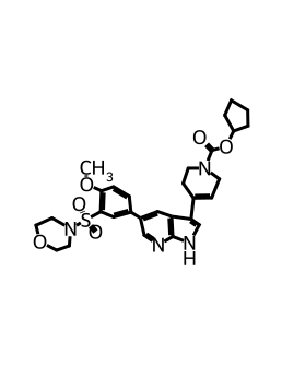 COc1ccc(-c2cnc3[nH]cc(C4=CCN(C(=O)OC5CCCC5)CC4)c3c2)cc1S(=O)(=O)N1CCOCC1